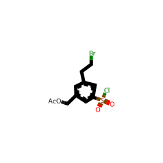 CC(=O)OCc1cc(CCBr)cc(S(=O)(=O)Cl)c1